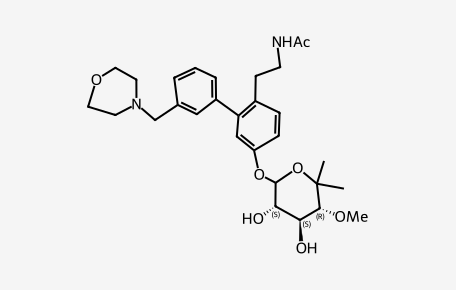 CO[C@@H]1[C@@H](O)[C@H](O)C(Oc2ccc(CCNC(C)=O)c(-c3cccc(CN4CCOCC4)c3)c2)OC1(C)C